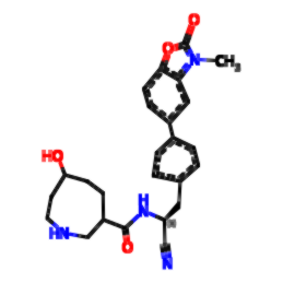 Cn1c(=O)oc2ccc(-c3ccc(C[C@@H](C#N)NC(=O)C4CCC(O)CCNC4)cc3)cc21